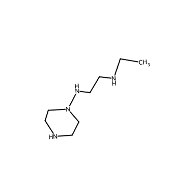 CCNCCNN1CCNCC1